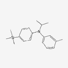 Cc1cccc(N(c2ccc([Si](C)(C)C)cc2)C(C)C)c1